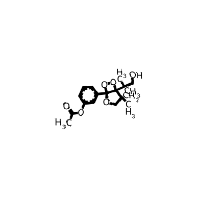 CC(=O)Oc1cccc(C23OCC(C)(C)C2(C(C)(C)CO)OO3)c1